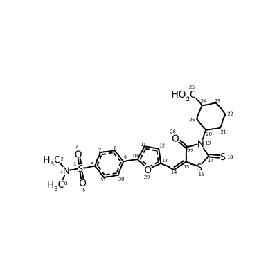 CN(C)S(=O)(=O)c1ccc(-c2ccc(/C=C3/SC(=S)N(C4CCCC(C(=O)O)C4)C3=O)o2)cc1